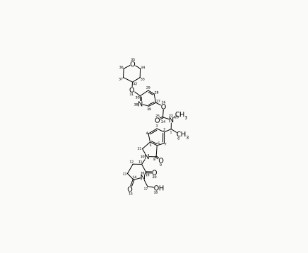 CC(c1ccc2c(c1)C(=O)N(C1CCC(=O)N(CO)C1=O)C2)N(C)C(=O)Oc1ccc(OC2CCOCC2)nc1